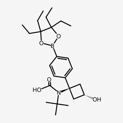 CCC1(CC)OB(c2ccc([C@]3(N(C(=O)O)C(C)(C)C)C[C@H](O)C3)cc2)OC1(CC)CC